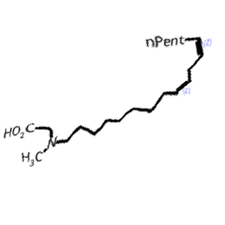 CCCCC/C=C\C/C=C\CCCCCCCCN(C)CC(=O)O